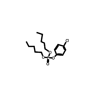 CCCCCOP(=O)(OCCCCC)Oc1ccc(Cl)cc1